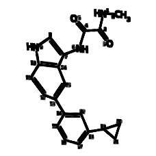 CNC(=O)C(=O)Nc1c[nH]c2ccc(-c3cccc(C4CC4)c3)cc12